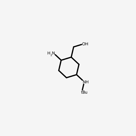 CC(C)(C)NC1CCC(N)C(CO)C1